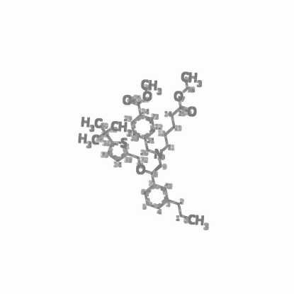 CCCc1cccc([C@H](CN(CCCCC(=O)OCC)Cc2ccc(C(=O)OC)cc2)OCc2ccc(C(C)(C)C)s2)c1